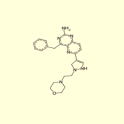 Nc1nc(Cc2ccccc2)c2nc(C3=CNN(CCN4CCOCC4)C3)ccc2n1